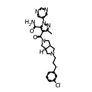 Cc1nn(-c2cncnc2)c(C(N)=O)c1C(=O)N1CC2CN(CC[CH]c3cccc(Cl)c3)C[C@H]2C1